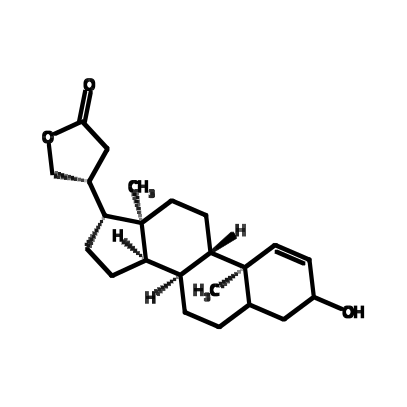 C[C@]12CC[C@H]3[C@@H](CCC4CC(O)C=C[C@@]43C)[C@H]1CC[C@@H]2[C@@H]1COC(=O)C1